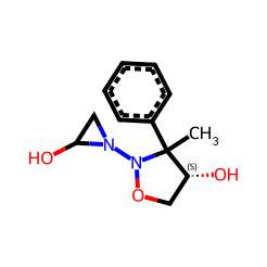 CC1(c2ccccc2)[C@H](O)CON1N1CC1O